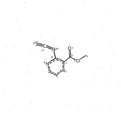 COC(=O)c1nccnc1N=C=S